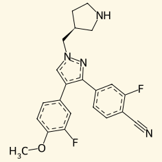 COc1ccc(-c2cn(C[C@H]3CCNC3)nc2-c2ccc(C#N)c(F)c2)cc1F